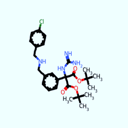 CC(C)(C)OC(=O)C(NC(=N)N)(C(=O)OC(C)(C)C)c1cccc(CNCc2ccc(Cl)cc2)c1